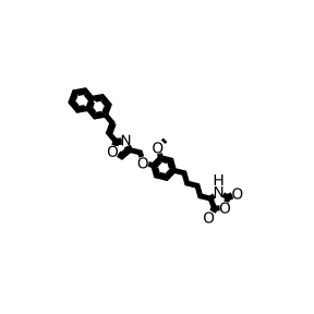 COc1cc(CCCCC2NC(=O)OC2=O)ccc1OCc1coc(C=Cc2ccc3ccccc3c2)n1